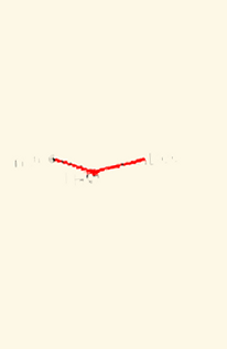 CCCCCCCCCCCCCCCCCCCCCCCCCCCCC(C)(CO)CCCCCCCCCCCCCCCCCCCCCCCCCC